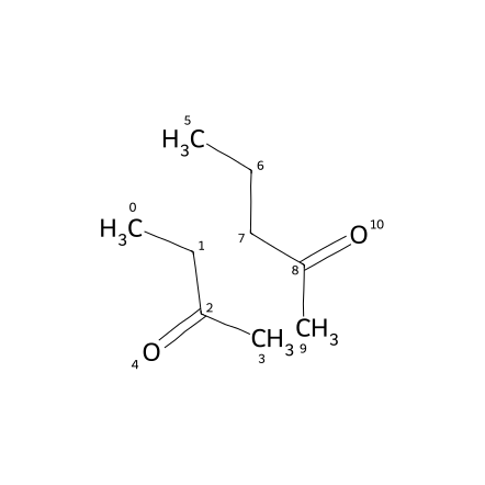 CCC(C)=O.CCCC(C)=O